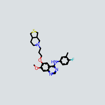 COc1cc2ncnc(Nc3ccc(F)c(C)c3)c2cc1OCCCN1CCC2CSCC2C1